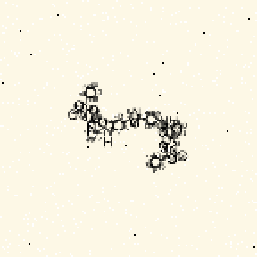 O=C(Nc1ccc(-c2cnc(-c3ccc(NC(=O)[C@@H]4CCCN4C(=O)CN4C(=O)OC(c5ccccc5)C4=O)cc3)o2)cc1)[C@@H]1CCCN1C(=O)CN1C(=O)OC(c2ccccc2)C1=O